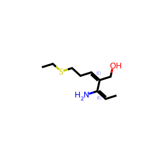 C/C=C(N)\C(=C/CCSCC)CO